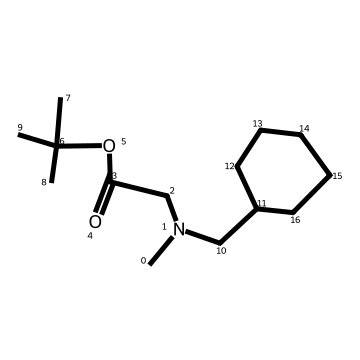 CN(CC(=O)OC(C)(C)C)CC1CCCCC1